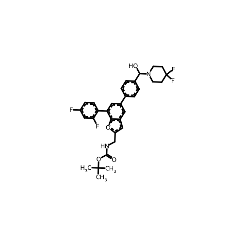 CC(C)(C)OC(=O)NCc1cc2cc(-c3ccc(C(O)N4CCC(F)(F)CC4)cc3)cc(-c3ccc(F)cc3F)c2o1